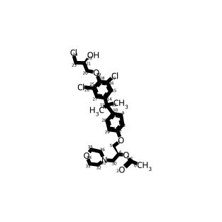 CC(=O)O[C@H](COc1ccc(C(C)(C)c2cc(Cl)c(OC[C@H](O)CCl)c(Cl)c2)cc1)CN1CCOCC1